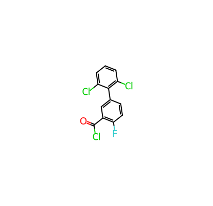 O=C(Cl)c1cc(-c2c(Cl)cccc2Cl)ccc1F